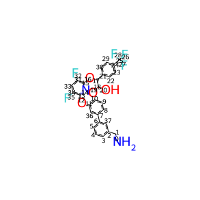 NCc1cccc(-c2cccc(Oc3nc(OC(C(=O)O)c4ccc(C(F)(F)F)cc4)c(F)cc3F)c2)c1